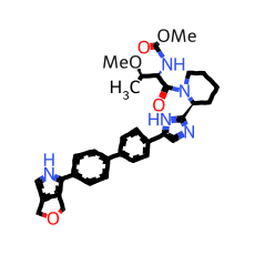 COC(=O)N[C@H](C(=O)N1CCCC[C@H]1c1ncc(-c2ccc(-c3ccc(-c4[nH]cc5c4COC5)cc3)cc2)[nH]1)[C@@H](C)OC